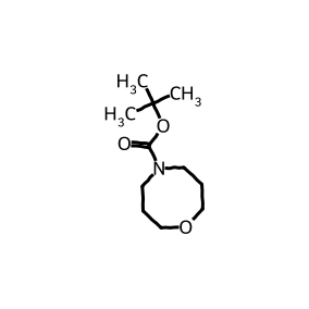 CC(C)(C)OC(=O)N1CCCOCCC1